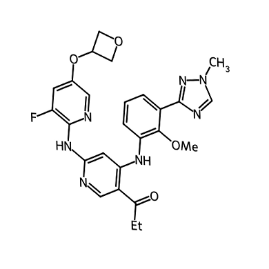 CCC(=O)c1cnc(Nc2ncc(OC3COC3)cc2F)cc1Nc1cccc(-c2ncn(C)n2)c1OC